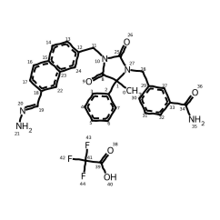 CC1(c2ccccc2)C(=O)N(Cc2ccc3ccc(C=NN)cc3c2)C(=O)N1Cc1cccc(C(N)=O)c1.O=C(O)C(F)(F)F